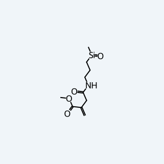 C=C(CC(=O)NCCC[Si](C)=O)C(=O)OC